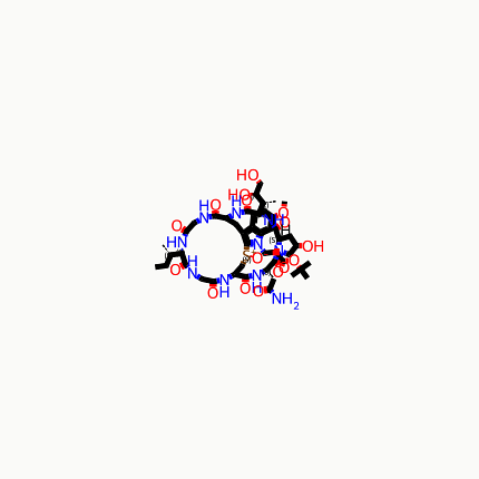 CC[C@H](C)[C@@H]1NC(=O)CNC(=O)C2Cc3c(n(CCC(=O)OC(C)(C)C)c4cc(OC)ccc34)[S@+]([O-])CC(NC(=O)CNC1=O)C(=O)N[C@@H](CC(N)=O)C(=O)N1CC(O)C[C@H]1C(=O)N[C@@H]([C@@H](C)[C@@H](O)CO)C(=O)N2